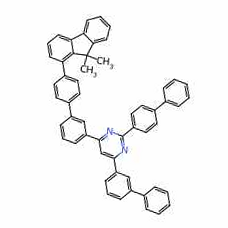 CC1(C)c2ccccc2-c2cccc(-c3ccc(-c4cccc(-c5cc(-c6cccc(-c7ccccc7)c6)nc(-c6ccc(-c7ccccc7)cc6)n5)c4)cc3)c21